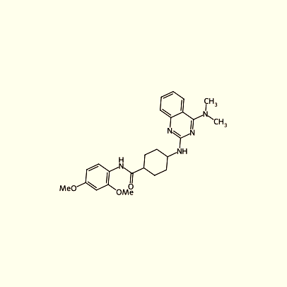 COc1ccc(NC(=O)C2CCC(Nc3nc(N(C)C)c4ccccc4n3)CC2)c(OC)c1